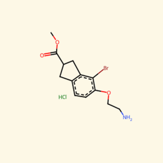 COC(=O)C1Cc2ccc(OCCN)c(Br)c2C1.Cl